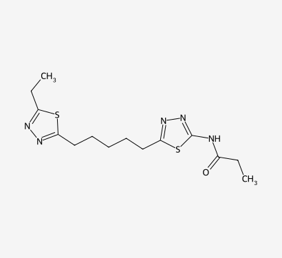 CCC(=O)Nc1nnc(CCCCCc2nnc(CC)s2)s1